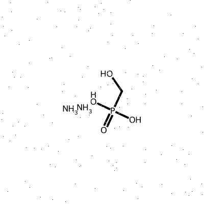 N.N.O=P(O)(O)CO